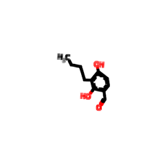 CCCCc1c(O)ccc(C=O)c1O